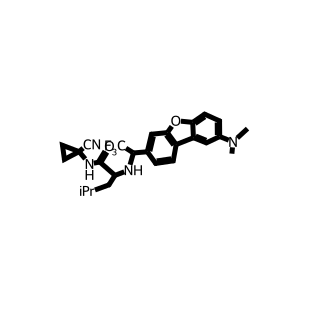 CC(C)CC(NC(c1ccc2c(c1)oc1ccc(N(C)C)cc12)C(F)(F)F)C(=O)NC1(C#N)CC1